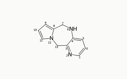 c1cnc2c(c1)NCc1cccn1C2